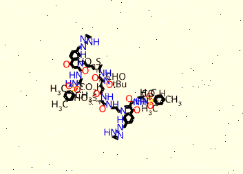 Cc1cc(C)c(S(=O)(=O)N[C@@H](CNC(=O)c2cn(CCCNC(=O)[C@H](CS(=O)(=O)O)NC(=O)CC[C@@H](C(=O)N[C@H](CCCCN3c4cc(CNc5ncc[nH]5)ccc4C(=O)CC3C(=O)NC[C@H](NS(=O)(=O)c3c(C)cc(C)cc3C)C(=O)O)CS(=O)(=O)O)N(C=O)OC(C)(C)C)c3cc(CNc4ncc[nH]4)ccc3c2=O)C(=O)O)c(C)c1